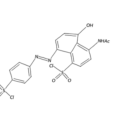 CC(=O)Nc1ccc(S(=O)(=O)Cl)c2c(/N=N/c3ccc(S(=O)(=O)Cl)cc3)ccc(O)c12